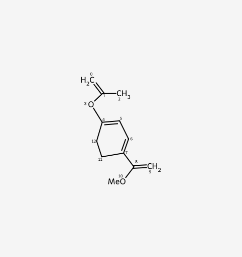 C=C(C)OC1=CC=C(C(=C)OC)CC1